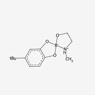 C[NH+]1CCO[B-]12Oc1ccc(C(C)(C)C)cc1O2